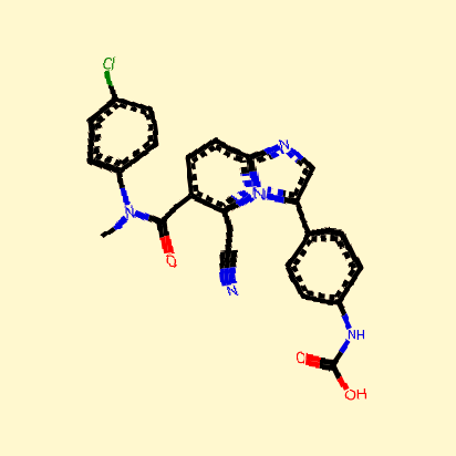 CN(C(=O)c1ccc2ncc(-c3ccc(NC(=O)O)cc3)n2c1C#N)c1ccc(Cl)cc1